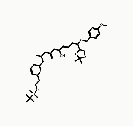 C=C(CC(O)/C=C/CC(OCc1ccc(OC)cc1)C1COC(C)(C)O1)CC(C)CC1CC=CC(CCO[Si](C)(C)C(C)(C)C)O1